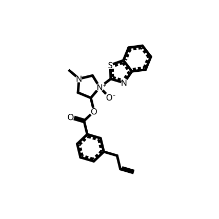 C=CCc1cccc(C(=O)OC2CN(C)C[N+]2([O-])c2nc3ccccc3s2)c1